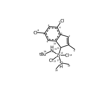 CC1=Cc2c(Cl)cc(Cl)cc2[CH]1[Zr]([Cl])([Cl])([NH]C(C)(C)C)[SiH](C)C